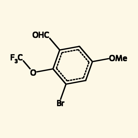 COc1cc(Br)c(OC(F)(F)F)c(C=O)c1